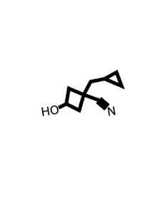 N#CC1(CC2CC2)CC(O)C1